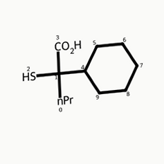 CCCC(S)(C(=O)O)C1CCCCC1